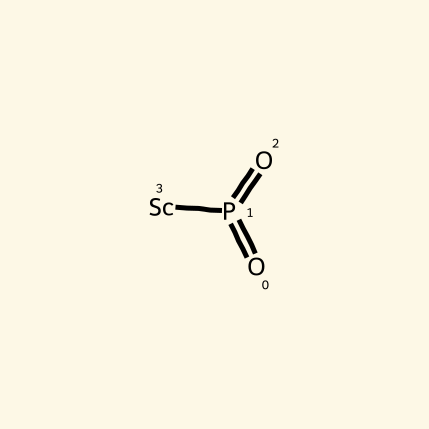 O=[P](=O)[Sc]